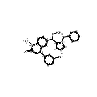 COC(c1ccc2c(c1)c(-c1cccc(Cl)c1)cc(=O)n2C)c1cncn1Cc1ccccc1